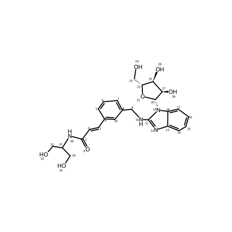 O=C(C=Cc1cccc(CNc2nc3ccccc3n2[C@@H]2O[C@H](CO)[C@@H](O)[C@H]2O)c1)NC(CO)CO